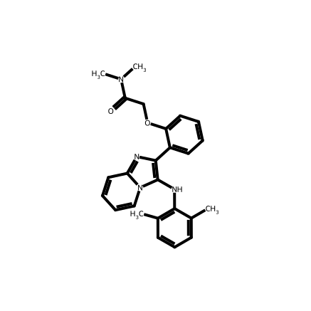 Cc1cccc(C)c1Nc1c(-c2ccccc2OCC(=O)N(C)C)nc2ccccn12